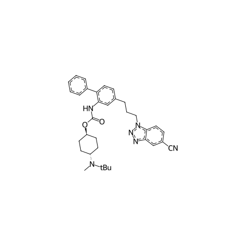 CN([C@H]1CC[C@H](OC(=O)Nc2cc(CCCn3nnc4cc(C#N)ccc43)ccc2-c2ccccc2)CC1)C(C)(C)C